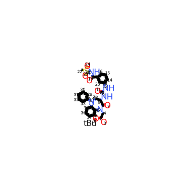 CC(C)(C)OC(=O)CN1C(=O)C(NC(=O)Nc2cccc(C(=O)NS(C)(=O)=O)c2)CN(c2ccccc2)c2ccccc21